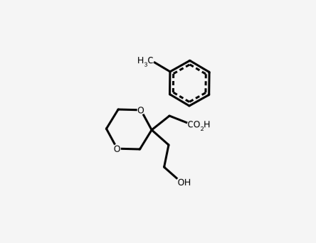 Cc1ccccc1.O=C(O)CC1(CCO)COCCO1